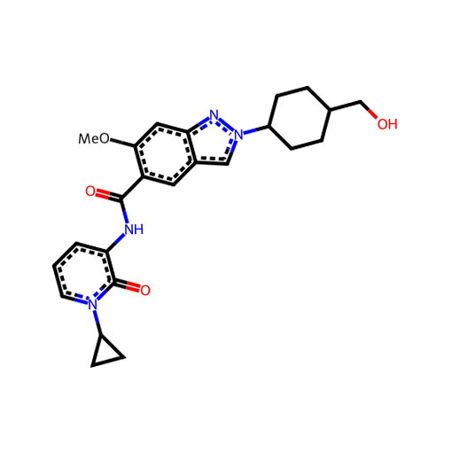 COc1cc2nn(C3CCC(CO)CC3)cc2cc1C(=O)Nc1cccn(C2CC2)c1=O